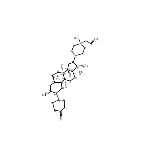 C=CC[N+]1(C)CCN(C2C[C@H]3[C@@H]4CCC5CC(OC(C)=O)C(N6CCC(=O)CC6)C[C@]5(C)[C@@H]4CC[C@]3(C)C2OC(C)=O)CC1